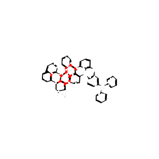 N#Cc1cc(-c2ccccc2)c(N(c2ccccc2)c2ccccc2)c(-c2ccc3c(c2)N(c2ccccc2-c2ccccc2)c2cccc4c2B3c2ccc(N(c3ccccc3)c3ccccc3)cc2S4)c1